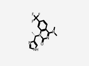 C[C@@H](c1c[nH]cn1)n1c(=O)nc(N(C)C)c2ccc(C(F)(F)F)cc21